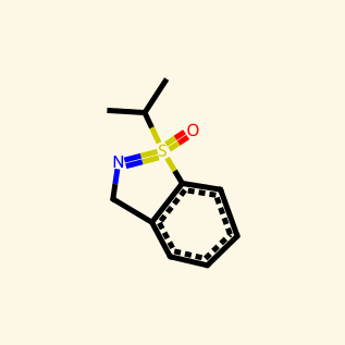 CC(C)S1(=O)=NCc2ccccc21